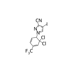 N#Cc1nn(C2C=CC(C(F)(F)F)=CC2(Cl)Cl)cc1I